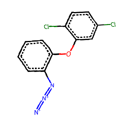 [N-]=[N+]=Nc1ccccc1Oc1cc(Cl)ccc1Cl